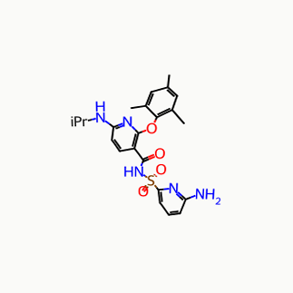 Cc1cc(C)c(Oc2nc(NC(C)C)ccc2C(=O)NS(=O)(=O)c2cccc(N)n2)c(C)c1